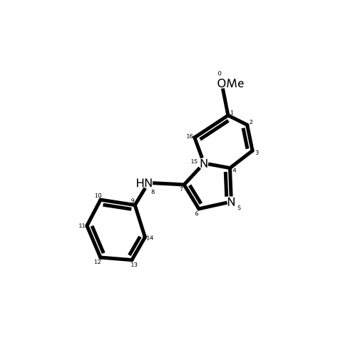 COc1ccc2ncc(Nc3ccccc3)n2c1